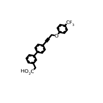 O=C(O)Cc1cccc(-c2ccc(C#CCOc3ccc(C(F)(F)F)cc3)cc2)c1